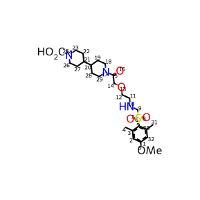 COc1cc(C)c(S(=O)(=O)CNCCOCC(=O)N2CCC(C3CCN(C(=O)O)CC3)CC2)c(C)c1